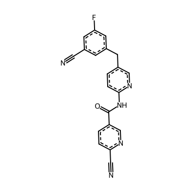 N#Cc1cc(F)cc(Cc2ccc(NC(=O)c3ccc(C#N)nc3)nc2)c1